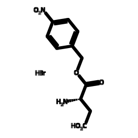 Br.N[C@@H](CC(=O)O)C(=O)OCc1ccc([N+](=O)[O-])cc1